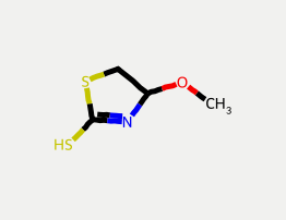 COC1CSC(S)=N1